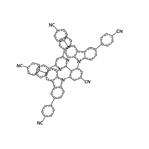 N#Cc1ccc(-c2ccc3c(c2)c2cc(-c4ccc(C#N)cc4)ccc2n3-c2cc(C#N)cc(-n3c4ccc(-c5ccc(C#N)cc5)cc4c4cc(-c5ccc(C#N)cc5)ccc43)c2-c2nc(-c3ccccc3)cc(-c3ccccc3)n2)cc1